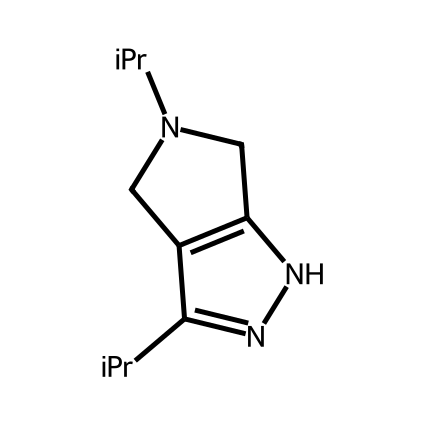 CC(C)c1n[nH]c2c1CN(C(C)C)C2